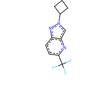 FC(F)(F)c1ccc2nn(C3CCC3)cc2n1